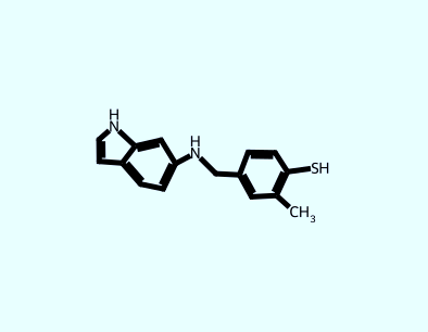 Cc1cc(CNc2ccc3cc[nH]c3c2)ccc1S